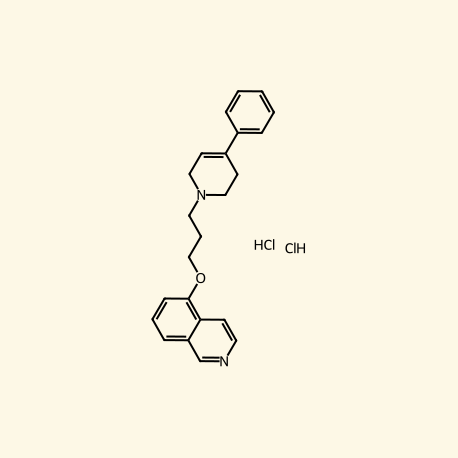 C1=C(c2ccccc2)CCN(CCCOc2cccc3cnccc23)C1.Cl.Cl